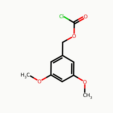 COc1cc(COC(=O)Cl)cc(OC)c1